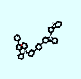 c1ccc(-c2ccc(-c3ccccc3N(c3ccccc3)c3cccc(-c4ccc(-c5ccc6c(c5)c5ccccc5n6-c5ccc6sc7ccccc7c6c5)cc4)c3)cc2)cc1